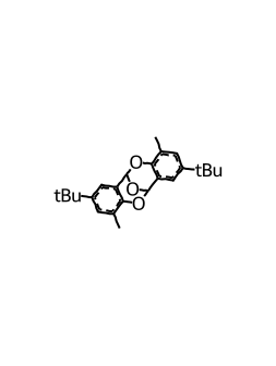 Cc1cc(C(C)(C)C)cc2c1OC1OC2Oc2c(C)cc(C(C)(C)C)cc21